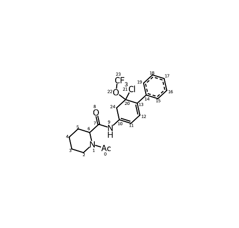 CC(=O)N1CCCCC1C(=O)NC1=CC=C(c2ccccc2)C(Cl)(OC(F)(F)F)C1